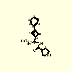 CC(C)C(NC(=O)C1CCNC1)C12CC(c3ccccc3)(C1)C2.Cl